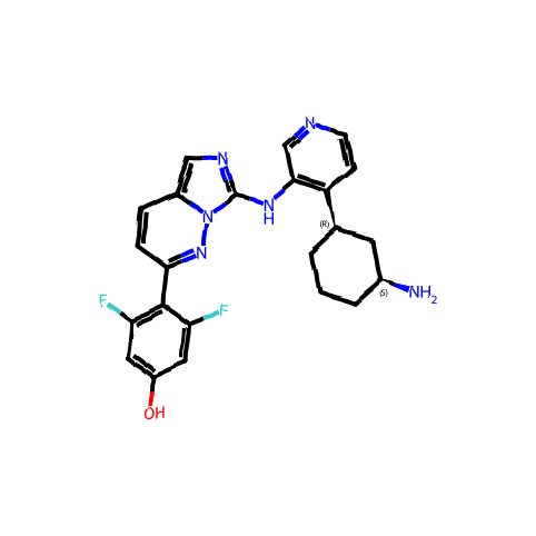 N[C@H]1CCC[C@@H](c2ccncc2Nc2ncc3ccc(-c4c(F)cc(O)cc4F)nn23)C1